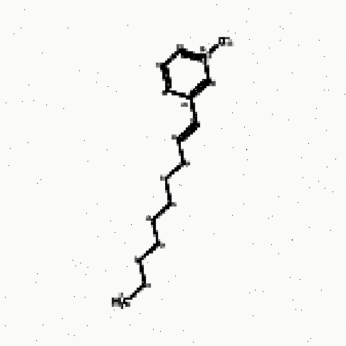 CCCCCCCC/C=C/c1ccc[n+]([O-])c1